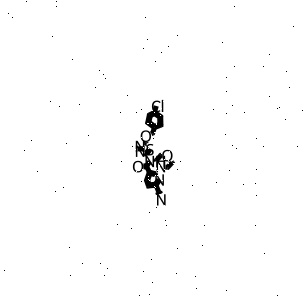 N#Cc1ccc(C(=O)Nc2nnc(OCc3ccc(Cl)cc3)s2)c(N2CCOCC2)n1